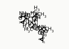 CCC(CC)(NC(=O)N[C@H](C(=O)N1C[C@H]2[C@@H]([C@H]1C(=O)NC(C(=O)C(N)=O)C1CC1)C2(C)C)C(C)(C)C)C(=O)OCC1CC1